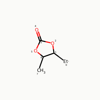 C[CH]C1OC(=O)OC1C